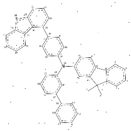 CC1(C)c2ccccc2-c2ccc(N(c3ccc(-c4cccc5sc6ccccc6c45)cc3)c3cccc(-c4ccccc4)c3)cc21